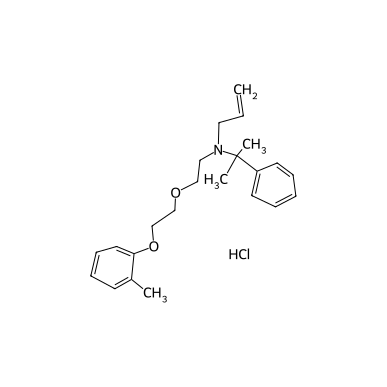 C=CCN(CCOCCOc1ccccc1C)C(C)(C)c1ccccc1.Cl